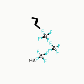 CC=CC.F[B-](F)(F)F.F[B-](F)(F)F.F[B-](F)(F)F.[KH]